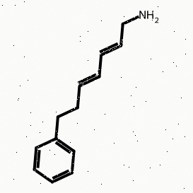 NC/C=C/C=C/CCc1ccccc1